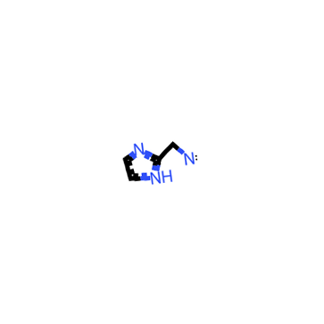 [N]Cc1ncc[nH]1